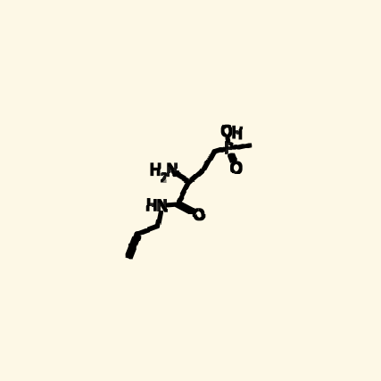 C=CCNC(=O)C(N)CCP(C)(=O)O